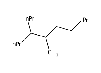 CCCC(CCC)[C](C)CCC(C)C